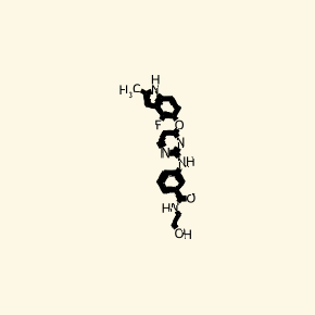 Cc1cc2c(F)c(OC3CC=NC(Nc4cccc(C(=O)NCCO)c4)=N3)ccc2[nH]1